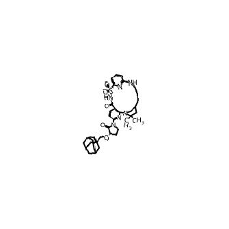 CC1(C)CC2CCCNc3cccc(n3)S(=O)(=O)NC(=O)c3ccc(N4CC[C@H](OCC56CC7CC(CC(C7)C5)C6)C4=O)nc3N1C2